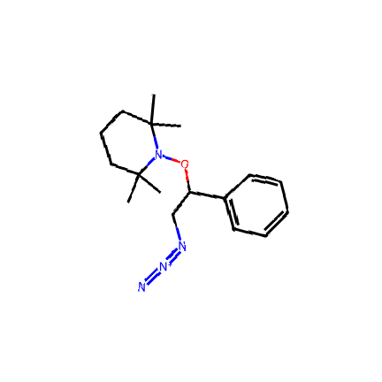 CC1(C)CCCC(C)(C)N1OC(CN=[N+]=[N-])c1ccccc1